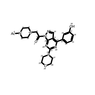 CC(=O)N1CCN(CC(=O)n2ncc3c(-c4cccc(O)c4)nc(N4CCOCC4)nc32)CC1